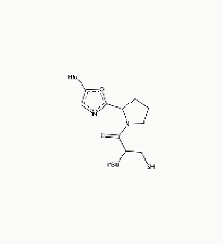 CCCCC(CS)C(=O)N1CCCC1c1ncc(C(C)(C)C)o1